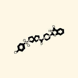 O=C(N1CCN(c2nc3ccccc3c(=O)[nH]2)CC1)N1CCC2(CCN(S(=O)(=O)c3ccc(Cl)cc3)C2)C1